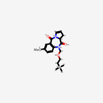 COc1ccc2c(c1)C(=O)N1C=CCC1C(=O)N2COCC[Si](C)(C)C